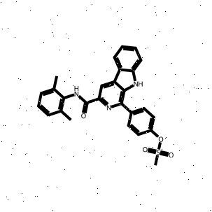 Cc1cccc(C)c1NC(=O)c1cc2c([nH]c3ccccc32)c(-c2ccc(OS(C)(=O)=O)cc2)n1